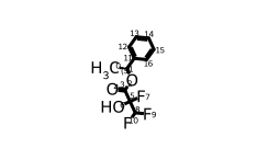 C[C@H](OC(=O)C(O)(F)C(F)F)c1ccccc1